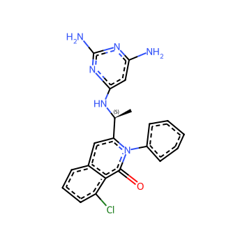 C[C@H](Nc1cc(N)nc(N)n1)c1cc2cccc(Cl)c2c(=O)n1-c1ccccc1